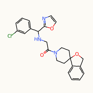 O=C(CNC(c1cccc(Cl)c1)c1ncco1)N1CCC2(CC1)OCc1ccccc12